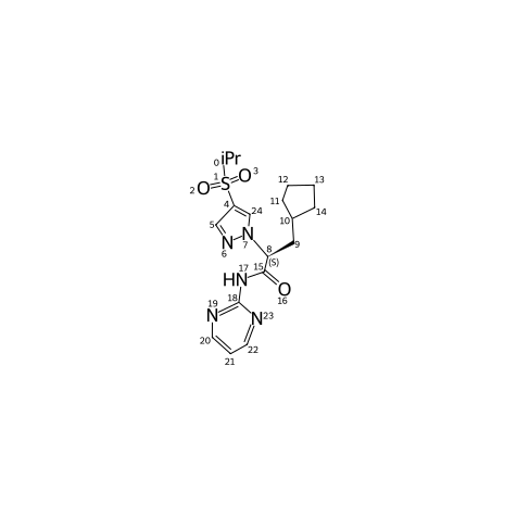 CC(C)S(=O)(=O)c1cnn([C@@H](CC2CCCC2)C(=O)Nc2ncccn2)c1